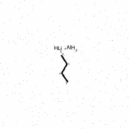 CCCC.[AlH3].[LiH]